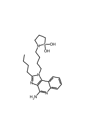 CCCCc1nc2c(N)nc3ccccc3c2n1CCCCN1CCCS1(O)O